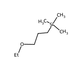 CCOCCC[Si](C)(C)C